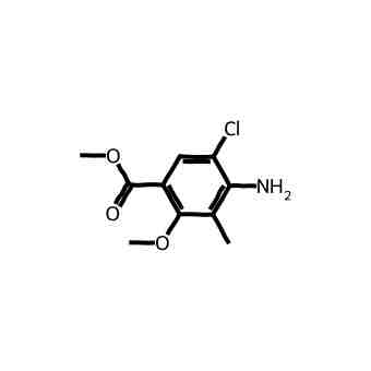 COC(=O)c1cc(Cl)c(N)c(C)c1OC